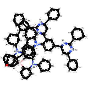 c1ccc(-c2ccc3c(c2)c2cc(-c4ccccc4)ccc2n3-c2ccc(-c3cc(-c4ccccc4)nc(-c4ccccc4)n3)cc2-c2cc(-c3ccccc3)nc(-c3cccc(-c4cccc(N5c6ccccc6B6c7ccccc7N(c7ccccc7)c7cccc5c76)c4)c3)n2)cc1